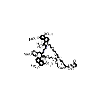 CCCC1CC(/C=C/C=C2/N(CCOCCOCCOCCOCCC(=O)ON3C(=O)CCC3=O)c3ccc4c(S(=O)(=O)O)cc(S(=O)(=O)O)cc4c3C2(C)C)C(C)(CCOCCOCCOCCOC)c2c(ccc3c(S(=O)(=O)O)cc(S(=O)(=O)O)cc23)N1CCOC